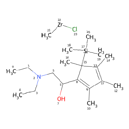 CCN(CC)CC(O)C1=C(C)C(C)=C(C)C1(C)[Si](C)(C)C.[CH3][Zr][Cl]